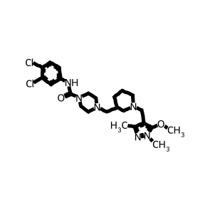 COc1c(CN2CCCC(CN3CCN(C(=O)Nc4ccc(Cl)c(Cl)c4)CC3)C2)c(C)nn1C